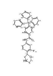 O=C(Nc1ccc(C2CNCCO2)c(F)c1)c1cnc(C(c2ccccc2)(c2ccccc2)c2ccccc2)cn1